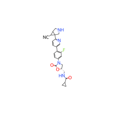 N#CC1C2CNCC12c1ccc(-c2ccc(N3C[C@H](CNC(=O)C4CC4)OC3=O)cc2F)cn1